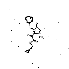 C[C@H]1CC(=O)N(Cc2ccccc2)[C@@H]1C(=O)C(=O)NCC1CC1